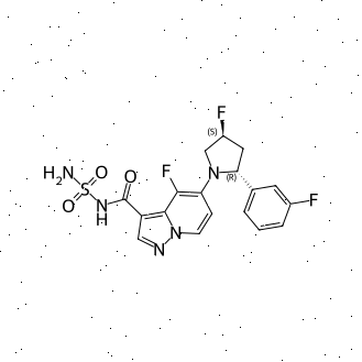 NS(=O)(=O)NC(=O)c1cnn2ccc(N3C[C@@H](F)C[C@@H]3c3cccc(F)c3)c(F)c12